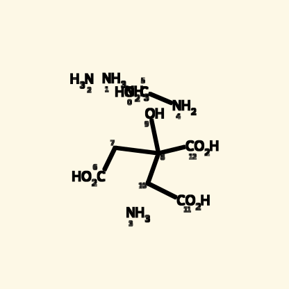 N.N.N.N.NC(=O)O.O=C(O)CC(O)(CC(=O)O)C(=O)O